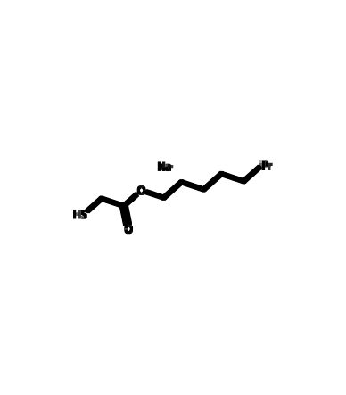 CC(C)CCCCCOC(=O)CS.[Na]